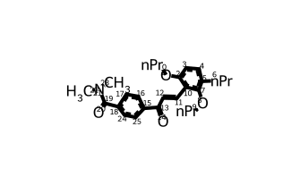 CCCOc1ccc(CCC)c(OCCC)c1C=CC(=O)c1ccc(C(=O)N(C)C)cc1